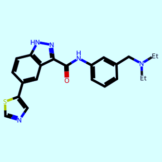 CCN(CC)Cc1cccc(NC(=O)c2n[nH]c3ccc(-c4cncs4)cc23)c1